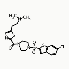 CN(C)CCc1cnc(C(=O)N2CCN(S(=O)(=O)c3cc4ccc(Cl)cc4s3)CC2)s1